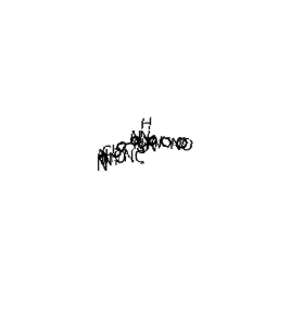 C[C@@H](Cn1cncn1)Oc1cc(-c2cnc(Nc3cn([C@H]4CC[C@H](N5CCOCC5)CC4)nc3OCC#N)nc2)ccc1Cl